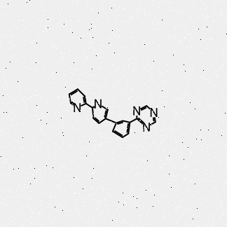 c1ccc(-c2ccc(-c3cccc(-c4ncncn4)c3)cn2)nc1